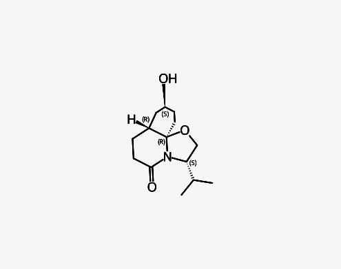 CC(C)[C@H]1CO[C@]23CC[C@H](O)C[C@H]2CCC(=O)N13